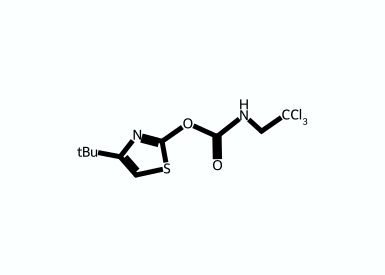 CC(C)(C)c1csc(OC(=O)NCC(Cl)(Cl)Cl)n1